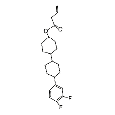 C=CCC(=O)OC1CCC(C2CCC(c3ccc(F)c(F)c3)CC2)CC1